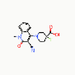 Cn1c(=O)c(C#N)c(N2CCC(F)(C(=O)O)CC2)c2ccccc21